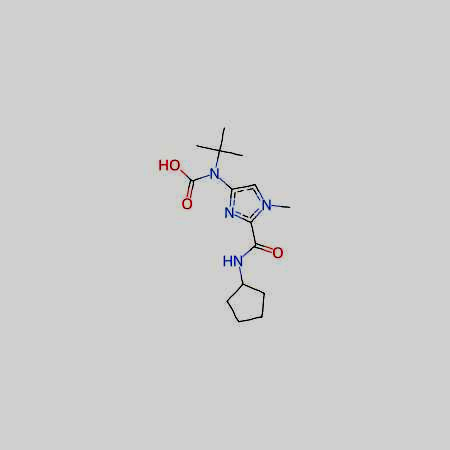 Cn1cc(N(C(=O)O)C(C)(C)C)nc1C(=O)NC1CCCC1